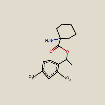 CC(OC(=O)C1(N)CCCCC1)c1ccc([N+](=O)[O-])cc1[N+](=O)[O-]